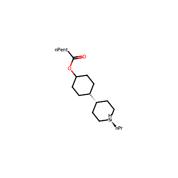 CCCCCC(=O)OC1CCC([C@H]2CC[Si@H](CCC)CC2)CC1